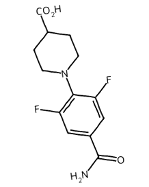 NC(=O)c1cc(F)c(N2CCC(C(=O)O)CC2)c(F)c1